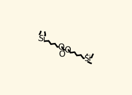 CC[Si](C)(CC)CCCCCOC(=O)OCCCCC[Si](C)(CC)CC